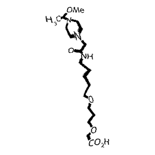 COC(C)N1CCN(CC(=O)NCCCCCOCCCOCC(=O)O)CC1